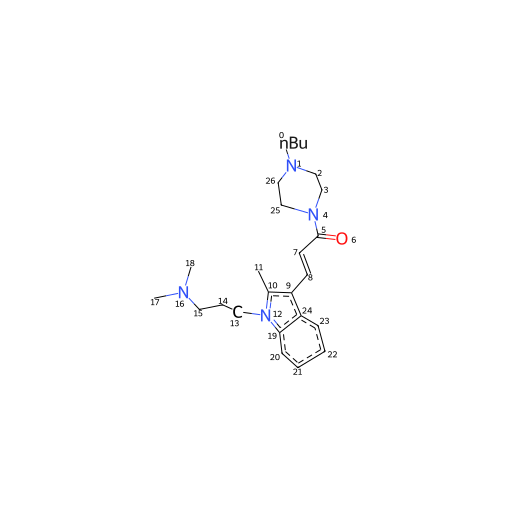 CCCCN1CCN(C(=O)C=Cc2c(C)n(CCCN(C)C)c3ccccc23)CC1